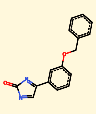 O=C1N=CC(c2cccc(OCc3ccccc3)c2)=N1